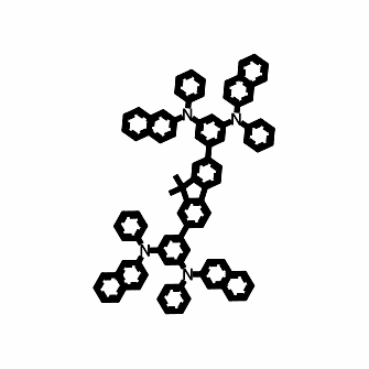 CC1(C)c2cc(-c3cc(N(c4ccccc4)c4ccc5ccccc5c4)cc(N(c4ccccc4)c4ccc5ccccc5c4)c3)ccc2-c2ccc(-c3cc(N(c4ccccc4)c4ccc5ccccc5c4)cc(N(c4ccccc4)c4ccc5ccccc5c4)c3)cc21